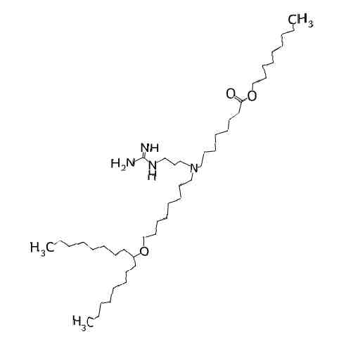 CCCCCCCCCOC(=O)CCCCCCCN(CCCCCCCCOC(CCCCCCCC)CCCCCCCC)CCCNC(=N)N